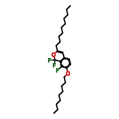 CCCCCCCCCCC1=Cc2ccc(OCCCCCCCCC)c(F)c2C(F)(F)O1